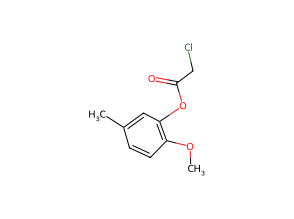 COc1ccc(C)cc1OC(=O)CCl